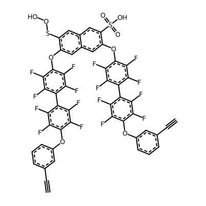 C#Cc1cccc(Oc2c(F)c(F)c(-c3c(F)c(F)c(Oc4cc5cc(Oc6c(F)c(F)c(-c7c(F)c(F)c(Oc8cccc(C#C)c8)c(F)c7F)c(F)c6F)c(S(=O)(=O)O)cc5cc4SOO)c(F)c3F)c(F)c2F)c1